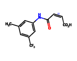 Cc1cc(NC(=O)/C=C\C(=O)O)cc(C(F)(F)F)c1